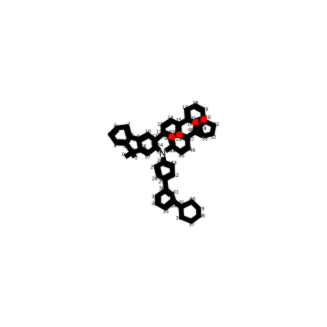 CC1(C)c2ccccc2-c2cc(-c3ccc(-c4ccccc4)cc3)c(N(c3ccc(-c4cccc(C5CCCCC5)c4)cc3)c3ccc(C4CC5CCC4C5)cc3)cc21